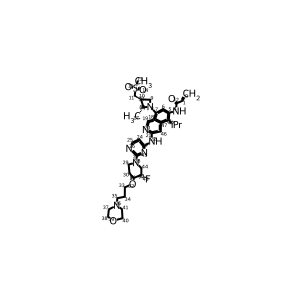 C=CC(=O)Nc1cc(N2C[C@H](CS(C)(=O)=O)[C@H]2C)c2cnc(Nc3ccnc(N4CC[C@@H](OCCCN5CCOCC5)[C@@H](F)C4)n3)cc2c1C(C)C